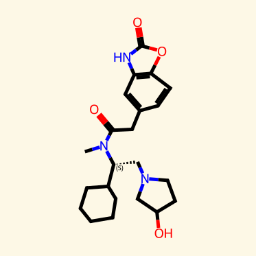 CN(C(=O)Cc1ccc2oc(=O)[nH]c2c1)[C@H](CN1CCC(O)C1)C1CCCCC1